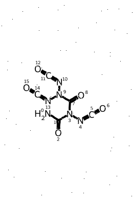 NC(=O)N(N=C=O)C(=O)N(N=C=O)N=C=O